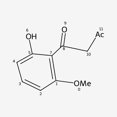 COc1cccc(O)c1C(=O)CC(C)=O